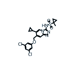 CC1(S(=O)(=O)Nc2nnc3cc(COc4cc(Cl)cc(Cl)c4)c(C4CC4)cn23)CC1